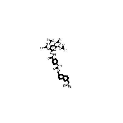 CCC(=O)OC[C@H]1O[C@@H](ONC(=O)c2ccc(NC(=O)OCc3ccc4cc(CN(CC)CC)ccc4c3)cc2)[C@H](OC(=O)CC)[C@@H](OC(=O)CC)[C@H]1OC(=O)CC